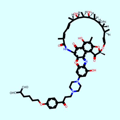 CC(=O)O[C@H]1[C@H](C)[C@H](O)[C@H](C)[C@@H](O)[C@@H](C)/C=C/C=C(/C)C(=O)Nc2c3oc4cc(N5CCN(CCC(=O)c6ccc(OCCCCC(C=O)C=O)cc6)CC5)cc(O)c4nc-3c3c4c(c(C)c(O)c3c2=O)O[C@](C)(O/C=C/[C@H](C)[C@H]1C)C4=O